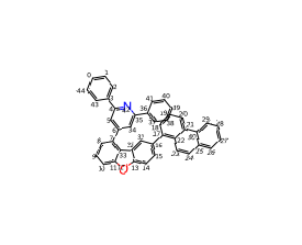 c1ccc(-c2cc(-c3cccc4oc5ccc(-c6cccc7c6ccc6ccccc67)cc5c34)cc(-c3ccccc3)n2)cc1